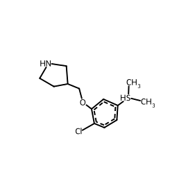 C[SH](C)c1ccc(Cl)c(OCC2CCNC2)c1